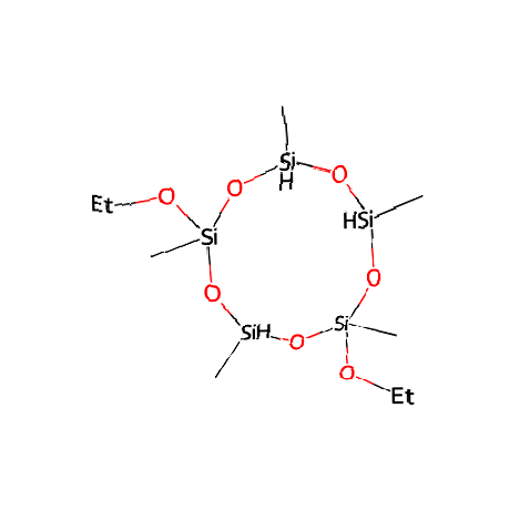 CCO[Si]1(C)O[SiH](C)O[SiH](C)O[Si](C)(OCC)O[SiH](C)O1